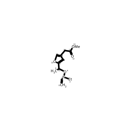 C=CN(CC)OC(C)c1cc(CC(=O)OC)co1